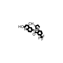 Cc1cc(O)nc2ccc(NC(=O)c3cc(C(F)(F)F)ccc3N3CCCC3)cc12